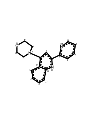 c1ccc(-c2cc(N3CCOCC3)c3ccccc3n2)nc1